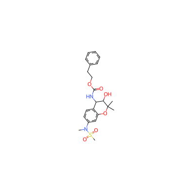 CN(c1ccc2c(c1)OC(C)(C)C(O)C2NC(=O)OCCc1ccccc1)S(C)(=O)=O